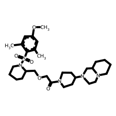 COc1cc(C)c(S(=O)(=O)N2CCCCC2COCC(=O)N2CCC(N3CCN4CCCCC4C3)CC2)c(C)c1